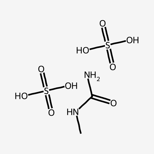 CNC(N)=O.O=S(=O)(O)O.O=S(=O)(O)O